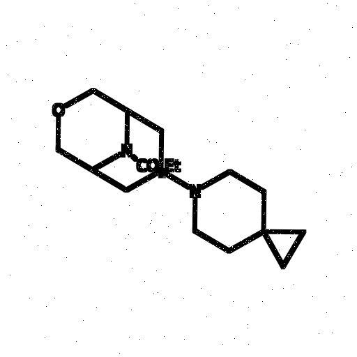 CCOC(=O)N1C2COCC1CC(N1CCC3(CC1)CC3)C2